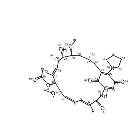 CO[C@H]1/C=C\C=C(/C)C(=O)NC2=CC(=O)C(N3CCCC3)=C(C[C@@H](C)C[C@H](OC)[C@H](O)[C@@H](C)/C=C(\C)[C@@H]1OC(C)=O)C2=O